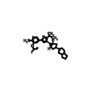 CC(C)n1nc(-c2cnc(N)c(OC(F)F)c2)cc1[C@H]1[C@@H]2C[C@@H](N3CCN4CCCC4C3)C[C@@H]21